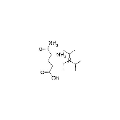 CCN(C(C)C)C(C)C.NC(=O)C(N)CCC(=O)O